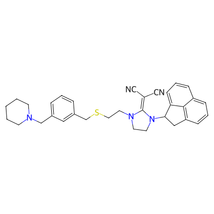 N#CC(C#N)=C1N(CCSCc2cccc(CN3CCCCC3)c2)CCN1C1Cc2cccc3cccc1c23